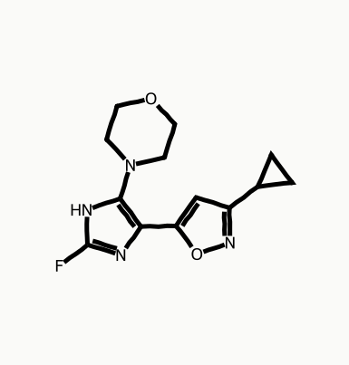 Fc1nc(-c2cc(C3CC3)no2)c(N2CCOCC2)[nH]1